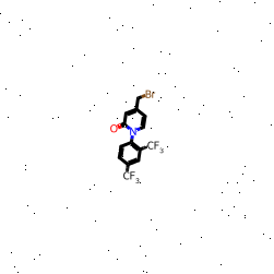 O=c1cc(CBr)ccn1-c1ccc(C(F)(F)F)cc1C(F)(F)F